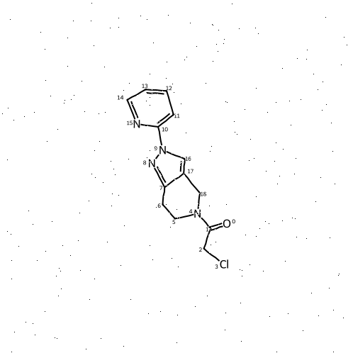 O=C(CCl)N1CCc2nn(-c3ccccn3)cc2C1